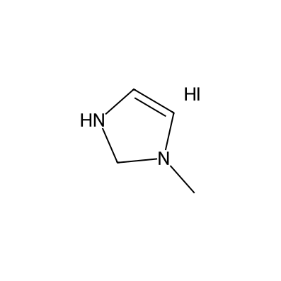 CN1C=CNC1.I